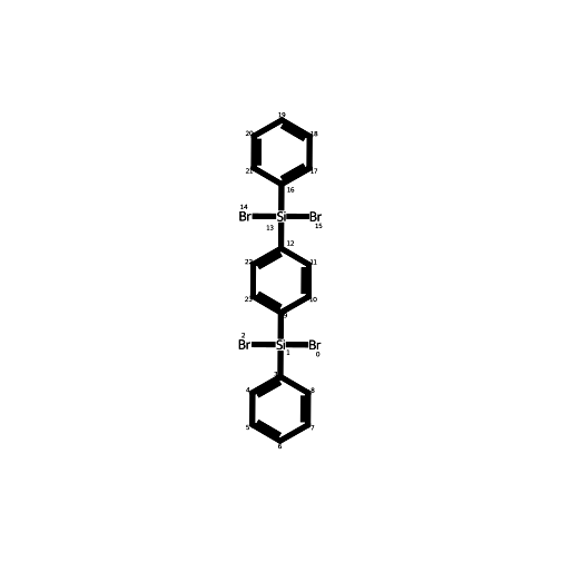 Br[Si](Br)(c1ccccc1)c1ccc([Si](Br)(Br)c2ccccc2)cc1